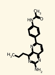 CCCc1nc(N)nc2ccc(-c3ccc(NC(C)=O)cc3)nc12